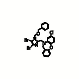 Clc1ccc2c(c1)N(Cc1nc(Br)c(Br)n1COCc1ccccc1)Cc1ccccc1O2